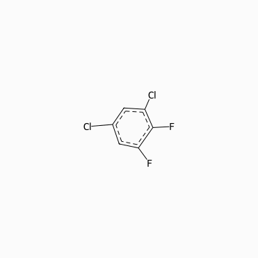 Fc1cc(Cl)cc(Cl)c1F